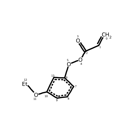 C=CC(=O)OOc1cccc(OCC)c1